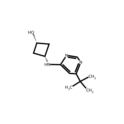 CC(C)(C)c1cc(N[C@H]2C[C@@H](O)C2)ncn1